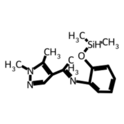 CC(=Nc1ccccc1O[SiH](C)C)c1cnn(C)c1C